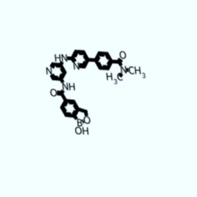 CN(C)C(=O)c1ccc(-c2ccc(Nc3cncc(NC(=O)c4ccc5c(c4)COB5O)c3)nc2)cc1